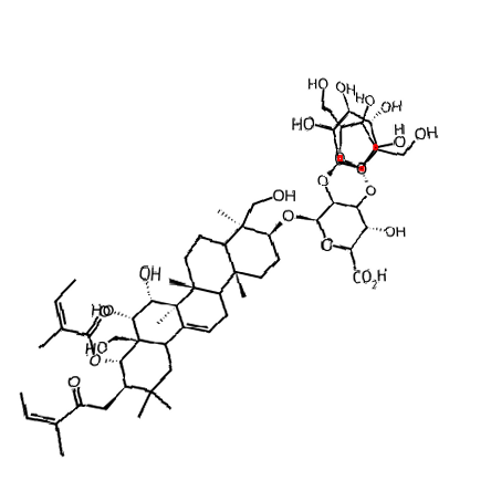 C/C=C(/C)C(=O)C[C@H]1[C@H](OC(=O)/C(C)=C\C)[C@@]2(CO)C(CC1(C)C)C1=CCC3[C@@]4(C)CC[C@H](O[C@@H]5OC(C(=O)O)[C@@H](O)C(O[C@@H]6O[C@@H](CO)C(O)C6O)C5O[C@@H]5OC(CO)[C@@H](O)C(O)C5O)[C@](C)(CO)C4CC[C@@]3(C)[C@]1(C)[C@@H](O)[C@H]2O